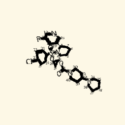 O=C(OC1([C@H]2CCC[C@@H](c3cncc(F)c3)N2S(=O)(=O)c2ccc(Cl)cc2)CC1)N1CCC(N2CCCCC2)CC1